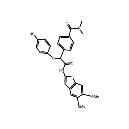 COc1cc2nc(NC(=O)C(Oc3ccc(C#N)cc3)c3ccc(C(=O)N(C)C)cc3)sc2cc1OC